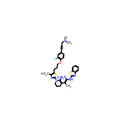 CC(=O)N(C)CC#Cc1ccc(OCCCc2sc(N3CCCC(/C(C)=C(\N)Nc4nc5ccccc5s4)=C3N)nc2C(=O)O)c(F)c1